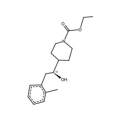 CCOC(=O)N1CCC([C@@H](O)Cc2ccccc2C)CC1